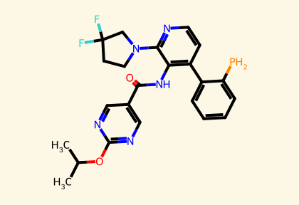 CC(C)Oc1ncc(C(=O)Nc2c(-c3ccccc3P)ccnc2N2CCC(F)(F)C2)cn1